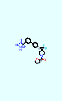 O=C([C@H]1CCCO1)N1CCC2(CC1)[C@H](c1ccc(-c3cccc(C4NNNN4)c3)cc1)C2(F)F